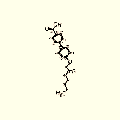 CCCCCC(F)COc1ccc(-c2ccc(C(=O)O)cc2)cc1